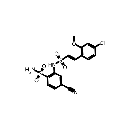 COc1cc(Cl)ccc1C=CS(=O)(=O)Nc1cc(C#N)ccc1S(N)(=O)=O